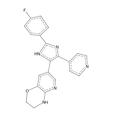 Fc1ccc(-c2nc(-c3ccncc3)c(-c3cnc4c(c3)OCCN4)[nH]2)cc1